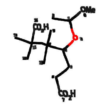 COC(C)OC(CCC(=O)O)C(C)(C)C(C)(C)C(=O)O